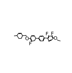 CCOc1ccc(-c2ccc(C3C=CC(OCC4C=CC(C)CC4)=C(F)C3)cc2)c(F)c1F